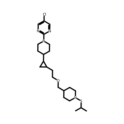 CC(C)SN1CCC(COCCC2CC2C2CCN(c3ncc(Cl)cn3)CC2)CC1